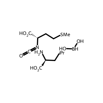 CC(C)C[C@H](N)C(=O)O.CSCC[C@H](N=C=O)C(=O)O.OBO